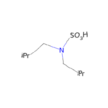 CC(C)CN(CC(C)C)S(=O)(=O)O